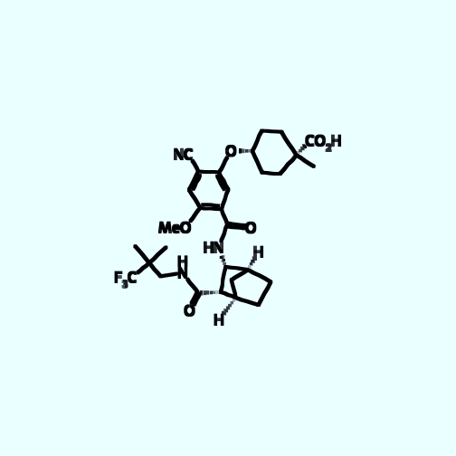 COc1cc(C#N)c(O[C@H]2CC[C@@](C)(C(=O)O)CC2)cc1C(=O)N[C@@H]1[C@H]2CC[C@H](C2)[C@@H]1C(=O)NCC(C)(C)C(F)(F)F